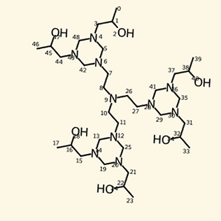 CC(O)CN1CN(CCN(CCN2CN(CC(C)O)CN(CC(C)O)C2)CCN2CN(CC(C)O)CN(CC(C)O)C2)CN(CC(C)O)C1